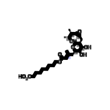 C/C(=C\C(=O)OCCCCCCCCC(=O)O)C[C@@H]1OC[C@H](C[C@@H]2OC2[C@@H](C)[C@@H](C)O)[C@@H](O)[C@H]1O